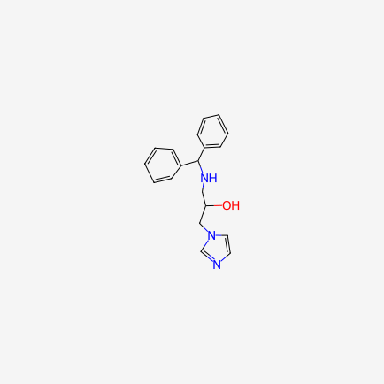 OC(CNC(c1ccccc1)c1ccccc1)Cn1ccnc1